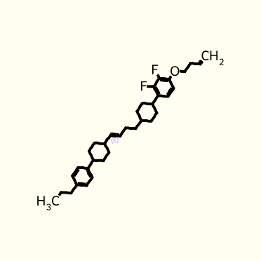 C=CCCOc1ccc(C2CCC(CC/C=C/C3CCC(c4ccc(CCC)cc4)CC3)CC2)c(F)c1F